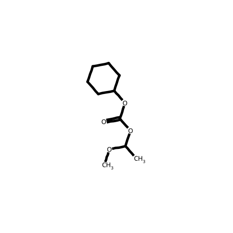 COC(C)OC(=O)OC1CCCCC1